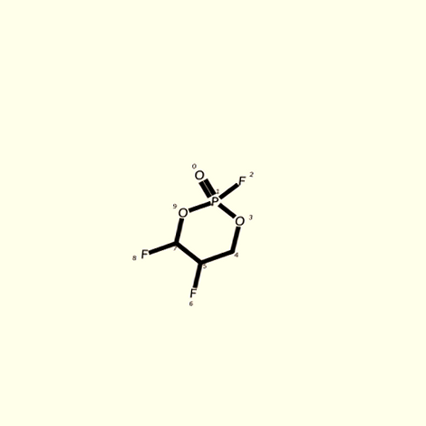 O=P1(F)OCC(F)C(F)O1